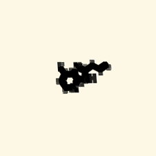 C=CCc1nc2c(I)ccnc2[nH]1